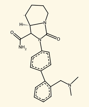 CN(C)Cc1ccccc1-c1ccc(N2C(=O)N3CCC[CH][C@@H]3C2C(N)=O)cc1